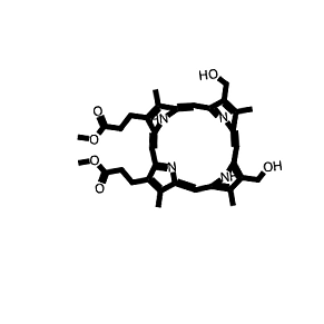 COC(=O)CCC1=C(C)c2cc3[nH]c(cc4nc(cc5[nH]c(cc1n2)c(CCC(=O)OC)c5C)C(CO)=C4C)c(CO)c3C